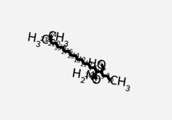 CCCCC(CO)C(CCCCCCCCCCCCCCC(C)C)C(N)=O